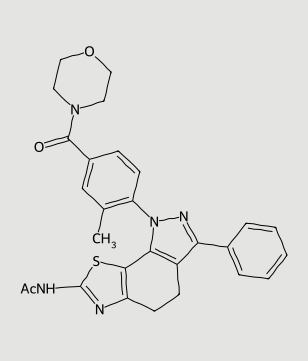 CC(=O)Nc1nc2c(s1)-c1c(c(-c3ccccc3)nn1-c1ccc(C(=O)N3CCOCC3)cc1C)CC2